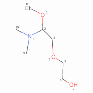 CCOC(COCCO)N(C)C